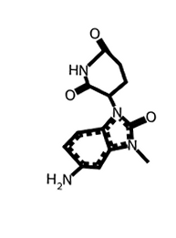 Cn1c(=O)n(C2CCC(=O)NC2=O)c2ccc(N)cc21